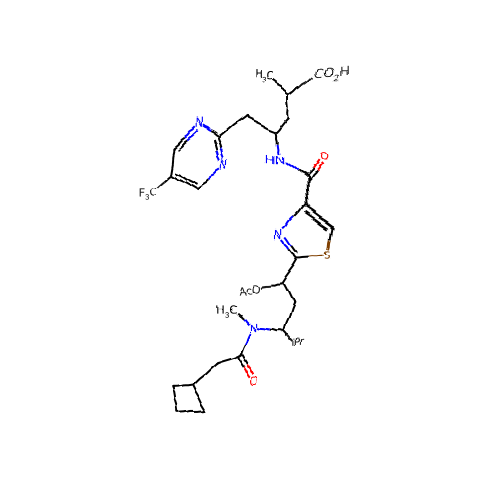 CC(=O)OC(CC(C(C)C)N(C)C(=O)CC1CCC1)c1nc(C(=O)NC(Cc2ncc(C(F)(F)F)cn2)CC(C)C(=O)O)cs1